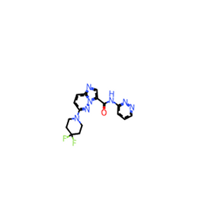 O=C(Nc1cccnn1)c1cnc2ccc(N3CCC(F)(F)CC3)nn12